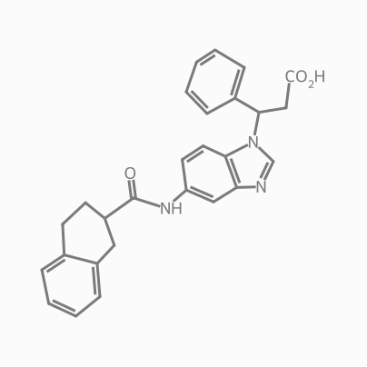 O=C(O)CC(c1ccccc1)n1cnc2cc(NC(=O)C3CCc4ccccc4C3)ccc21